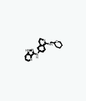 c1cnc2c(Nc3ccc4c(NCC5CCCCO5)nccc4c3)n[nH]c2c1